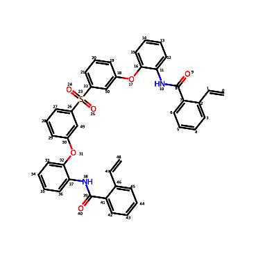 C=Cc1ccccc1C(=O)Nc1ccccc1Oc1cccc(S(=O)(=O)c2cccc(Oc3ccccc3NC(=O)c3ccccc3C=C)c2)c1